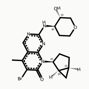 Cc1c(Br)c(=O)n([C@H]2CC[C@H]3C[C@H]32)c2nc(N[C@@H]3CCOC[C@H]3O)ncc12